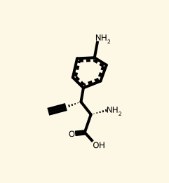 C#C[C@H](c1ccc(N)cc1)[C@H](N)C(=O)O